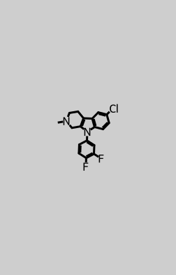 CN1CCc2c(n(-c3ccc(F)c(F)c3)c3ccc(Cl)cc23)C1